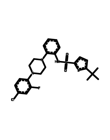 CC(C)(C)c1ccc(S(=O)(=O)Nc2ccccc2N2CCN(c3ccc(Cl)cc3F)CC2)s1